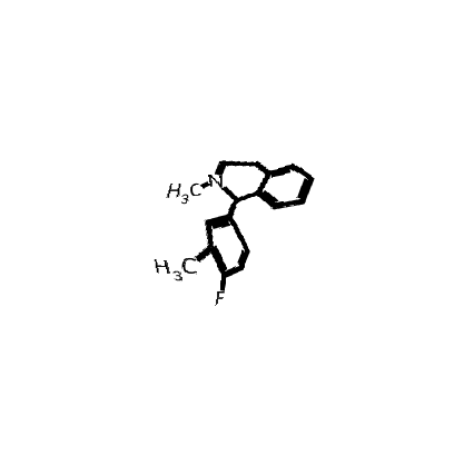 Cc1cc(C2c3ccccc3CCN2C)ccc1F